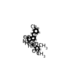 CC1=CN(C)C(=O)C(NC(=O)NC(CC(=O)[O-])c2cccc(Cc3cccc(Cl)c3)c2)C1=O.[Na+]